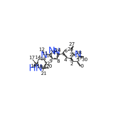 C=C/C=C(/C=C(\C)c1ccc(N(C)C2CC(C)(C)NC(C)(C)C2)nn1)C(\C=C)=N/C=C